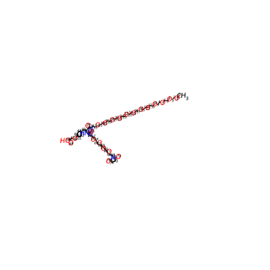 COCCOCCOCCOCCOCCOCCOCCOCCOCCOCCOCCOCCNC(=O)C(Cc1ccc(OCC(=O)O)cc1)NC(=O)CCOCCOCCOCCOCCN1C(=O)C=CC1=O